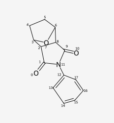 O=C1C2C3CCC(O3)C2C(=O)N1c1ccccc1